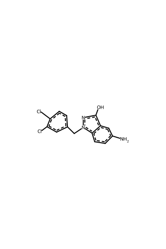 Nc1ccc2c(c1)c(O)nn2Cc1ccc(Cl)c(Cl)c1